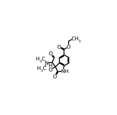 CCOC(=O)c1ccc2c(c1)C(O)(C(C=O)N(C)C)C(=O)N2